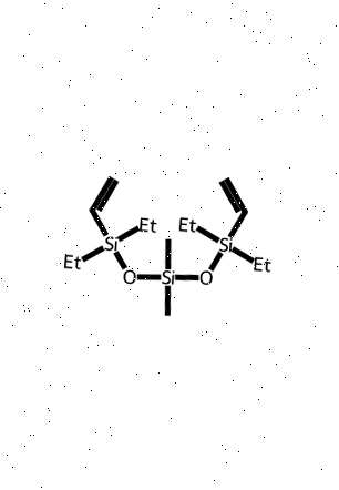 C=C[Si](CC)(CC)O[Si](C)(C)O[Si](C=C)(CC)CC